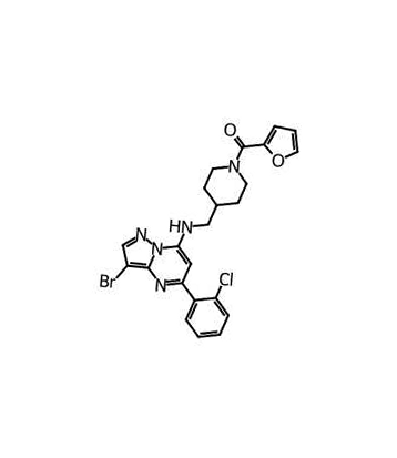 O=C(c1ccco1)N1CCC(CNc2cc(-c3ccccc3Cl)nc3c(Br)cnn23)CC1